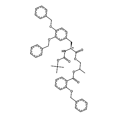 CC(COC(=O)[C@H](Cc1ccc(OCc2ccccc2)c(OCc2ccccc2)c1)NC(=O)OC(C)(C)C)OC(=O)c1ccccc1OCc1ccccc1